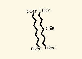 CCCCCCCCCCCCCCCCCC(=O)[O-].CCCCCCCCCCCCCCCCCC(=O)[O-].[Ca+2].[Zn]